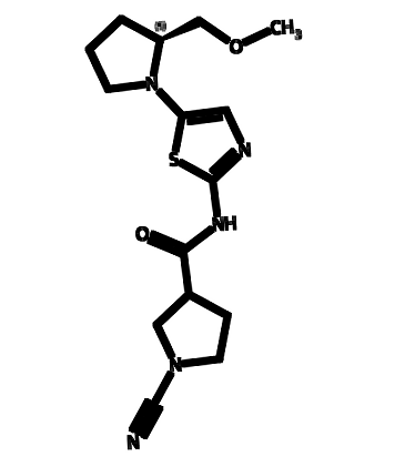 COC[C@@H]1CCCN1c1cnc(NC(=O)C2CCN(C#N)C2)s1